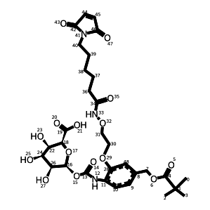 CC(C)(C)C(=O)OCc1ccc(NC(=O)O[C@@H]2O[C@H](C(=O)O)[C@H](O)[C@H](O)[C@@H]2O)c(OCCONC(=O)CCCCCN2C(=O)C=CC2=O)c1